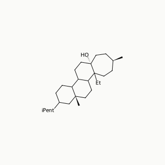 CCCC(C)C1CCC2C3CC[C@@]4(O)CC[C@@H](C)CCC4(CC)C3CC[C@]2(C)C1